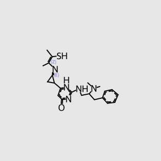 C/C(S)=C(C)/N=C1\CC1c1cc(=O)nc(NCC(Cc2ccccc2)N(C)C)[nH]1